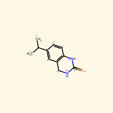 CC(C)c1ccc2c(c1)CNC(=S)N2